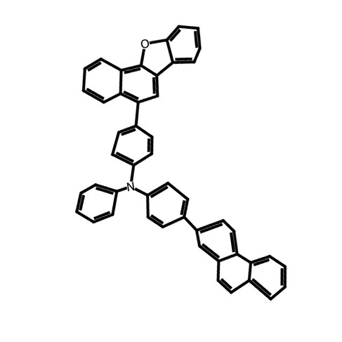 c1ccc(N(c2ccc(-c3ccc4c(ccc5ccccc54)c3)cc2)c2ccc(-c3cc4c5ccccc5oc4c4ccccc34)cc2)cc1